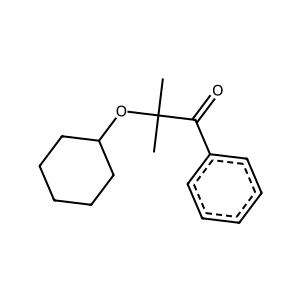 CC(C)(OC1CCCCC1)C(=O)c1ccccc1